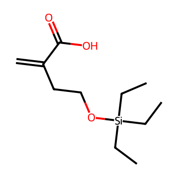 C=C(CCO[Si](CC)(CC)CC)C(=O)O